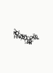 Cc1ccc(Nc2cc3cc(-c4c(O[C@H]5CCN(C)C5)cnn4C)ccn3n2)cn1